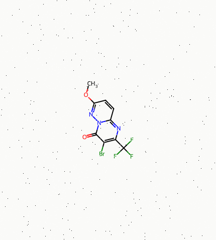 COc1ccc2nc(C(F)(F)F)c(Br)c(=O)n2n1